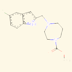 CC(C)(C)OC(=O)N1CCCN(Cc2cc3cc(F)ccc3[nH]2)CC1